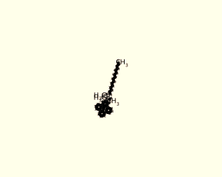 CCCCCCCCCCCCCCCC[PH](CC)(CC)CC.c1ccc([PH](c2ccccc2)(c2ccccc2)c2ccccc2)cc1